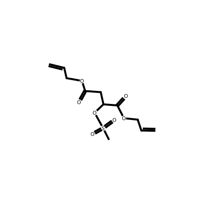 C=CCOC(=O)CC(OS(C)(=O)=O)C(=O)OCC=C